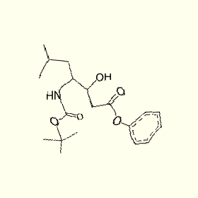 CC(C)CC(NC(=O)OC(C)(C)C)C(O)CC(=O)Oc1ccccc1